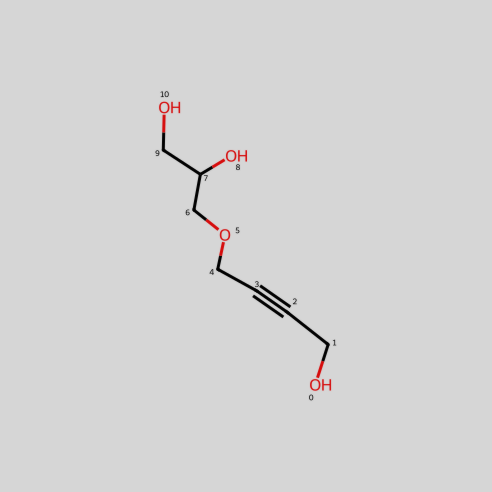 OCC#CCOCC(O)CO